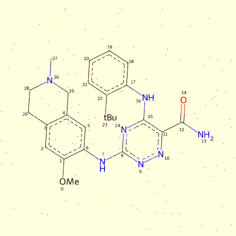 COc1cc2c(cc1Nc1nnc(C(N)=O)c(Nc3ccccc3C(C)(C)C)n1)CN(C)CC2